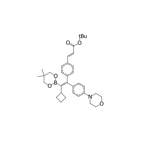 CC1(C)COB(/C(=C(\c2ccc(/C=C/C(=O)OC(C)(C)C)cc2)c2ccc(N3CCOCC3)cc2)C2CCC2)OC1